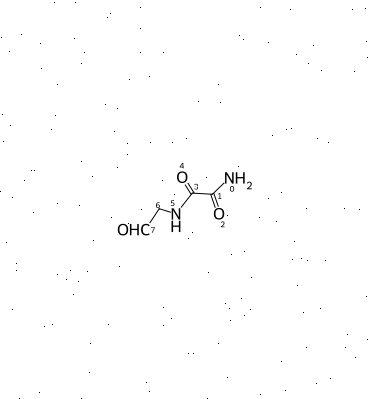 NC(=O)C(=O)NCC=O